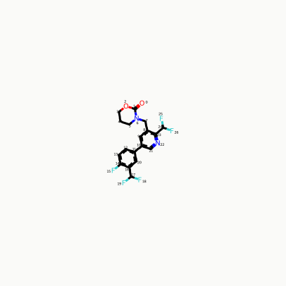 O=C1OCCCN1Cc1cc(-c2ccc(F)c(C(F)F)c2)cnc1C(F)F